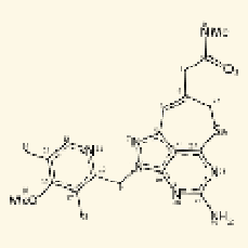 CNC(=O)CC1=Cc2nn(Cc3ncc(C)c(OC)c3C)c3nc(N)nc(c23)SC1